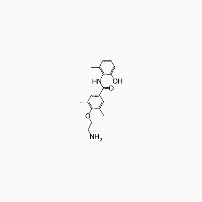 Cc1cccc(O)c1NC(=O)c1cc(C)c(OCCN)c(C)c1